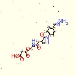 NN=Cc1ccc(NC(=O)CCC(=O)NCOC(=O)CC(=O)O)cc1